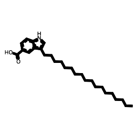 CCCCCCCCCCCCCCCCCCc1c[nH]c2ccc(C(=O)O)cc12